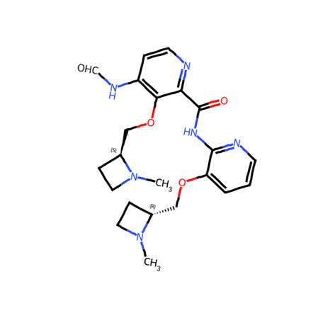 CN1CC[C@@H]1COc1cccnc1NC(=O)c1nccc(NC=O)c1OC[C@@H]1CCN1C